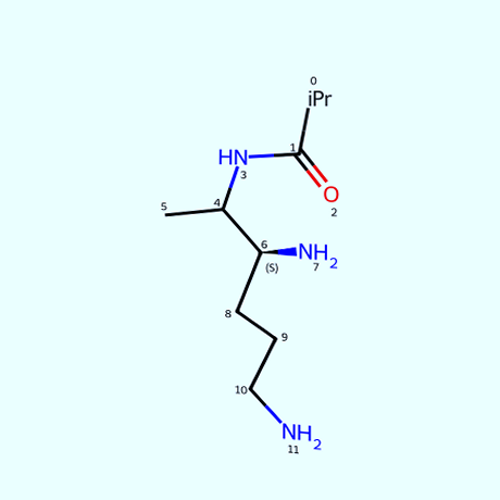 CC(C)C(=O)NC(C)[C@@H](N)CCCN